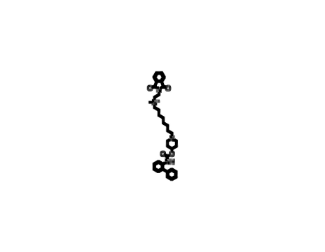 C[N+](C)(CCCCCCCCN1CCC(OC(=O)Nc2ccccc2-c2ccccc2)CC1)CCN1C(=O)c2ccccc2C1=O